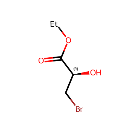 CCOC(=O)[C@@H](O)CBr